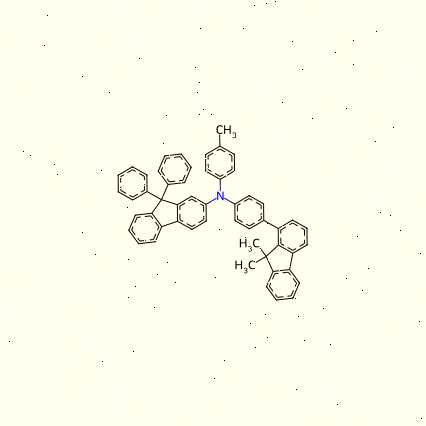 Cc1ccc(N(c2ccc(-c3cccc4c3C(C)(C)c3ccccc3-4)cc2)c2ccc3c(c2)C(c2ccccc2)(c2ccccc2)c2ccccc2-3)cc1